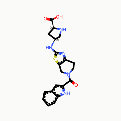 O=C(O)[C@@H]1C[C@H](Nc2nc3c(s2)CN(C(=O)c2cc4ccccc4[nH]2)CC3)CN1